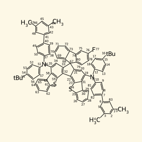 Cc1cc(C)cc(-c2ccc(N(c3ccc(C(C)(C)C)cc3)c3cc4c(c5sc6ccccc6c35)-c3c(cc(N(c5ccc(-c6cc(C)cc(C)c6)cc5)c5ccc(C(C)(C)C)cc5)c5c3sc3ccccc35)C43c4ccccc4-c4cc(F)ccc43)cc2)c1